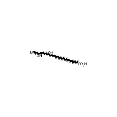 CCC=CCC(O)C#CC=CC=CC(O)CC=CCC=CCCCCCCCCCCCCCCC(=O)O